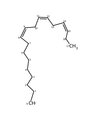 [CH]CCCCCCC/C=C\C/C=C\C/C=C\CC